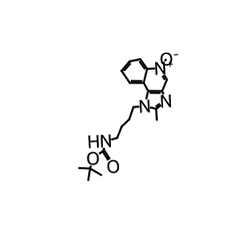 Cc1nc2c[n+]([O-])c3ccccc3c2n1CCCCNC(=O)OC(C)(C)C